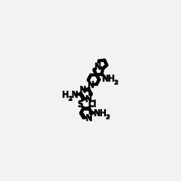 Nc1nc(N2CCC3(CC2)CN2CCCC2C3N)cnc1Sc1ccnc(N)c1Cl